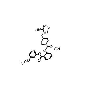 COc1cccc(OC(=O)c2ccccc2OC(=O)[C@H]2CC[C@H](CNC(=N)N)CC2)c1.Cl